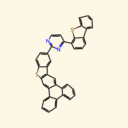 c1ccc2c(c1)sc1c(-c3ccnc(-c4ccc5sc6cc7c8ccccc8c8ccccc8c7cc6c5c4)n3)cccc12